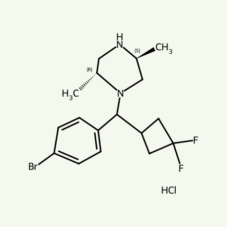 C[C@@H]1CN[C@@H](C)CN1C(c1ccc(Br)cc1)C1CC(F)(F)C1.Cl